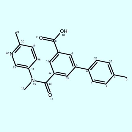 Cc1ccc(-c2cc(C(=O)O)cc(C(=O)N(C)c3ccc(C)nc3)c2)cc1